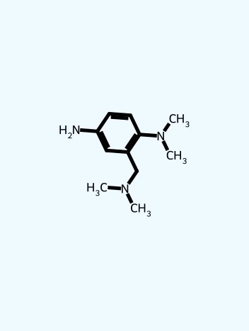 CN(C)Cc1cc(N)ccc1N(C)C